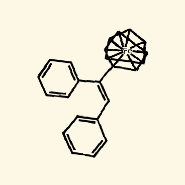 C(=C(c1ccccc1)[C]12[CH]3[CH]4[CH]5[CH]1[Fe]45321678[CH]2[CH]1[CH]6[CH]7[CH]28)c1ccccc1